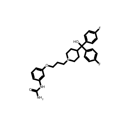 NC(=O)Nc1cccc(OCCCN2CCC(C(O)(c3ccc(F)cc3)c3ccc(F)cc3)CC2)c1